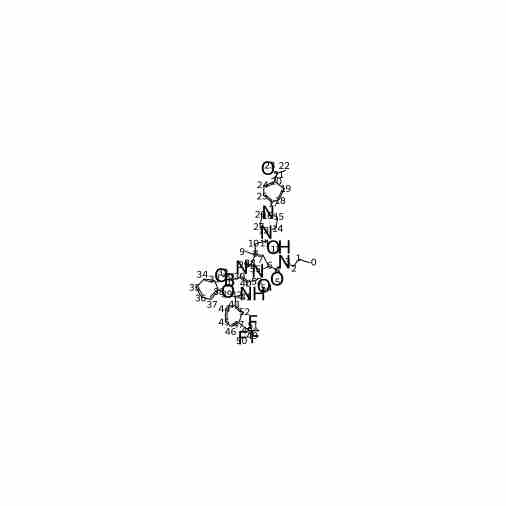 CCCNC(=O)C1CC(C)(CC(=O)N2CCN(c3ccc(C(C)=O)cc3)CC2)c2nc(B3Oc4ccccc4O3)c(NCc3cccc(C(F)(F)F)c3)c(=O)n21